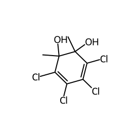 CC1(O)C(Cl)=C(Cl)C(Cl)=C(Cl)C1(C)O